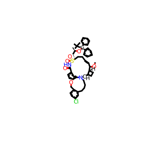 COC1/C=C/CC[C@@H](C[C@@H](C)O[Si](c2ccccc2)(c2ccccc2)C(C)(C)C)S(=O)(=O)NC(=O)c2ccc3c(c2)N(CCCCc2cc(Cl)ccc2CO3)C[C@@H]2CC[C@@H]12